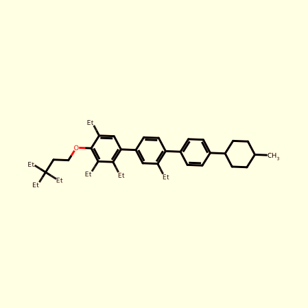 CCc1cc(-c2cc(CC)c(OCCC(CC)(CC)CC)c(CC)c2CC)ccc1-c1ccc(C2CCC(C)CC2)cc1